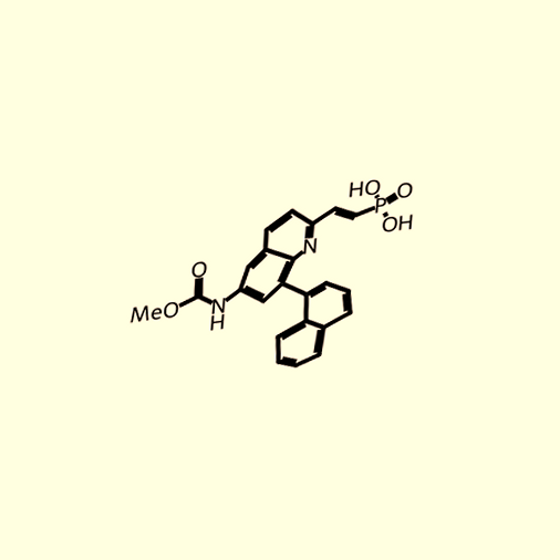 COC(=O)Nc1cc(-c2cccc3ccccc23)c2nc(C=CP(=O)(O)O)ccc2c1